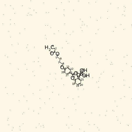 C=CC(=O)OCCCCOc1ccc(C(=O)Oc2ccccc2OB(O)O)cc1